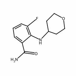 NC(=O)c1cccc(F)c1NC1CCOCC1